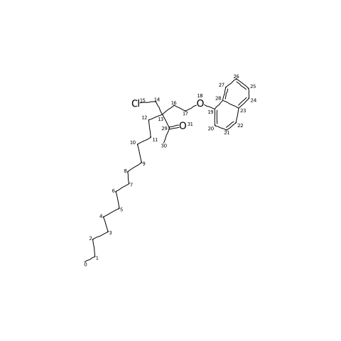 CCCCCCCCCCCCCC(CCl)(CCOc1cccc2ccccc12)C(C)=O